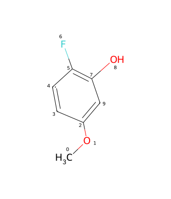 COc1c[c]c(F)c(O)c1